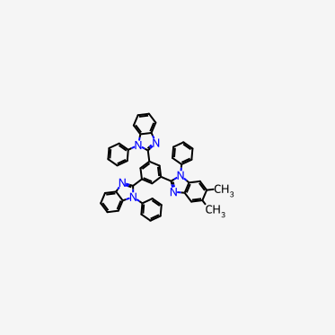 Cc1cc2nc(-c3cc(-c4nc5ccccc5n4-c4ccccc4)cc(-c4nc5ccccc5n4-c4ccccc4)c3)n(-c3ccccc3)c2cc1C